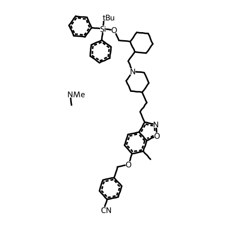 CNC.Cc1c(OCc2ccc(C#N)cc2)ccc2c(CCC3CCN(CC4CCCCC4CO[Si](c4ccccc4)(c4ccccc4)C(C)(C)C)CC3)noc12